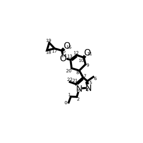 CCCn1nc(C)c(C2CC(=O)C=C(OC(=O)C3CC3)C2)c1C